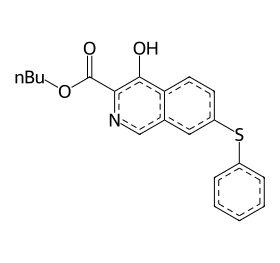 CCCCOC(=O)c1ncc2cc(Sc3ccccc3)ccc2c1O